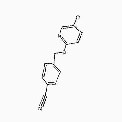 N#Cc1ccc(COc2ccc(Cl)cn2)cc1